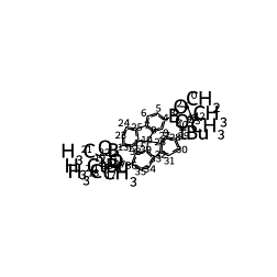 C=C1OB(c2ccc3c(c2)C2(c4cc(B5OC(C)(C)C(C)(C)O5)ccc4-3)c3cc(C(C)(C)C)ccc3-c3ccc(C(C)(C)C)cc32)OC1(C)C